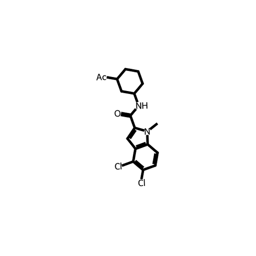 CC(=O)C1CCCC(NC(=O)c2cc3c(Cl)c(Cl)ccc3n2C)C1